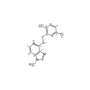 Cn1cnc2c(SCc3cc(Cl)ccc3Cl)nccc21